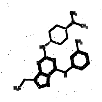 CCc1cnn2c(Nc3cccc(N)c3)nc(N[C@H]3CC[C@H](N(C)C)CC3)nc12